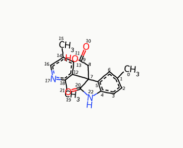 Cc1ccc2c(c1)C(CC(=O)O)(c1cc(C)cnc1C)C(=O)N2